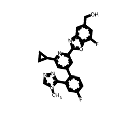 Cn1cnnc1-c1cc(F)ccc1-c1cc(-c2nc3cc(CO)cc(F)c3o2)nc(C2CC2)c1